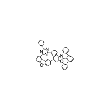 c1ccc(-c2nc(-c3ccccc3)nc(-c3cccc4oc5ccc(-c6ccc7nc(-c8c(-c9ccccc9)cccc8-c8ccccc8)oc7c6)cc5c34)n2)cc1